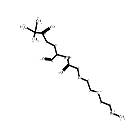 CNCCOCCOCC(=O)NC(C=O)CCC(=O)C(C)(C)C